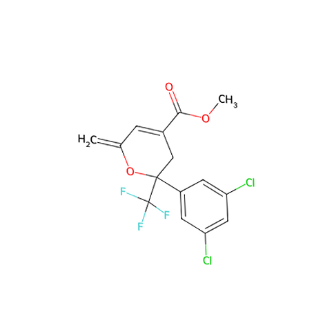 C=C1C=C(C(=O)OC)CC(c2cc(Cl)cc(Cl)c2)(C(F)(F)F)O1